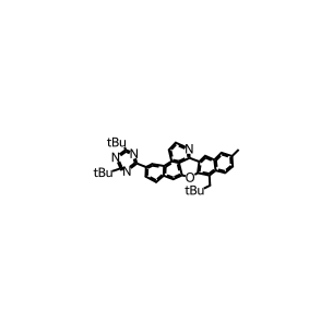 Cc1ccc2c(CC(C)(C)C)c3c(cc2c1)-c1nccc2c1c(cc1ccc(-c4nc(C(C)(C)C)nc(C(C)(C)C)n4)cc12)O3